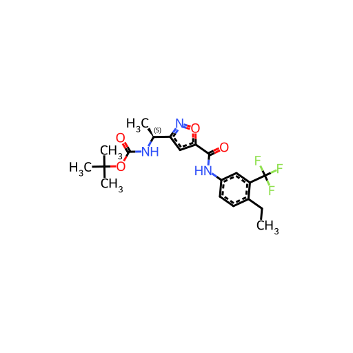 CCc1ccc(NC(=O)c2cc([C@H](C)NC(=O)OC(C)(C)C)no2)cc1C(F)(F)F